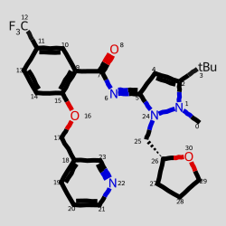 Cn1c(C(C)(C)C)c/c(=N\C(=O)c2cc(C(F)(F)F)ccc2OCc2cccnc2)n1C[C@H]1CCCO1